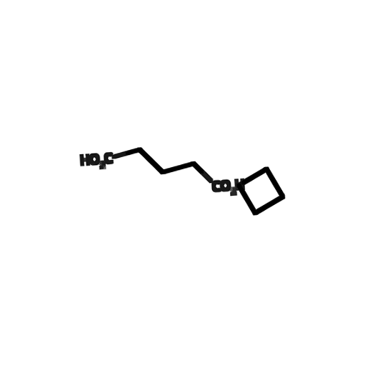 C1CCC1.O=C(O)CCCC(=O)O